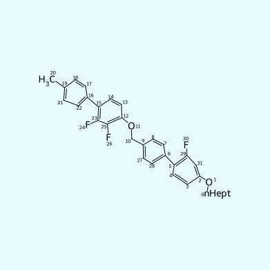 CCCCCCCOc1ccc(-c2ccc(COc3ccc(-c4ccc(C)cc4)c(F)c3F)cc2)c(F)c1